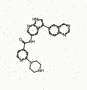 O=C(Nc1cnc2[nH]cc(-c3ccc4ncncc4c3)c2c1)c1ccnc(N2CCNCC2)c1